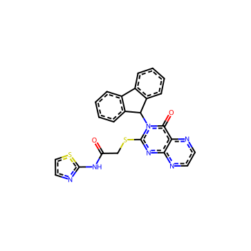 O=C(CSc1nc2nccnc2c(=O)n1C1c2ccccc2-c2ccccc21)Nc1nccs1